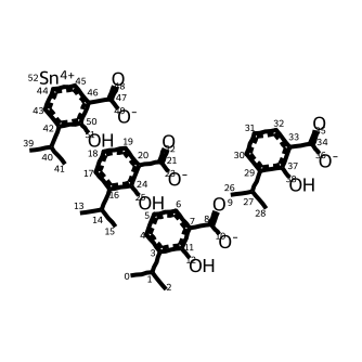 CC(C)c1cccc(C(=O)[O-])c1O.CC(C)c1cccc(C(=O)[O-])c1O.CC(C)c1cccc(C(=O)[O-])c1O.CC(C)c1cccc(C(=O)[O-])c1O.[Sn+4]